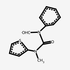 CN(C(=O)N([C]=O)c1ccccc1)c1cccs1